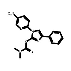 CN(C)C(=O)Sc1nc(-c2ccccc2)cn1-c1ccc([N+](=O)[O-])cn1